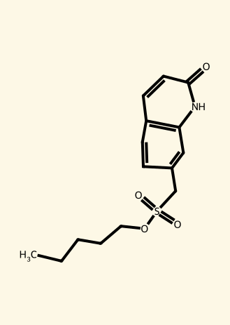 CCCCCOS(=O)(=O)Cc1ccc2ccc(=O)[nH]c2c1